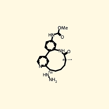 COC(=O)Nc1ccc2c(c1)NC(=O)[C@H](C)CCC[C@H](NN)c1cc-2ccn1